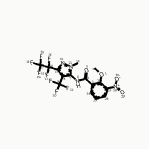 COc1c(C(=O)Nc2c(C(F)(F)F)c(C(F)(F)C(F)(F)F)nn2C)cccc1[N+](=O)[O-]